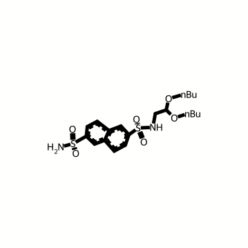 CCCCOC(CNS(=O)(=O)c1ccc2cc(S(N)(=O)=O)ccc2c1)OCCCC